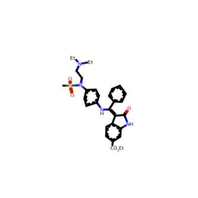 CCOC(=O)c1ccc2c(c1)NC(=O)C2=C(Nc1ccc(N(CCN(CC)CC)S(C)(=O)=O)cc1)c1ccccc1